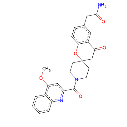 COc1cc(C(=O)N2CCC3(CC2)CC(=O)c2cc(CC(N)=O)ccc2O3)nc2ccccc12